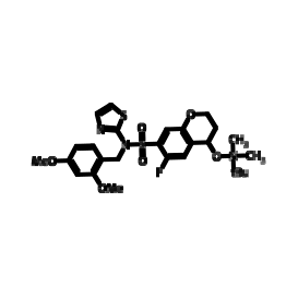 COc1ccc(CN(c2nccs2)S(=O)(=O)c2cc3c(cc2F)C(O[Si](C)(C)C(C)(C)C)CCO3)c(OC)c1